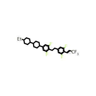 CCC1CCC(C2CCC(c3cc(F)c(CCc4cc(F)c(/C=C/C(F)(F)F)c(F)c4)c(F)c3)CC2)CC1